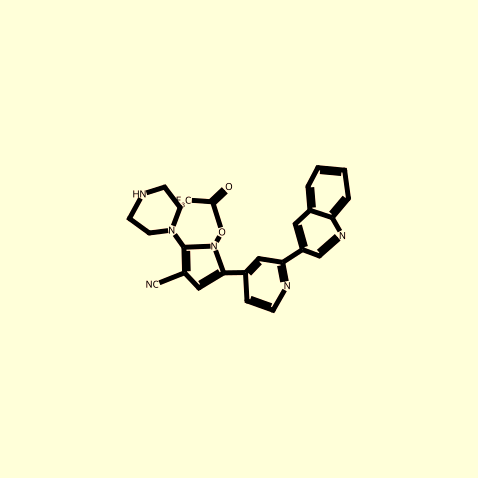 N#Cc1cc(-c2ccnc(-c3cnc4ccccc4c3)c2)n(OC(=O)C(F)(F)F)c1N1CCNCC1